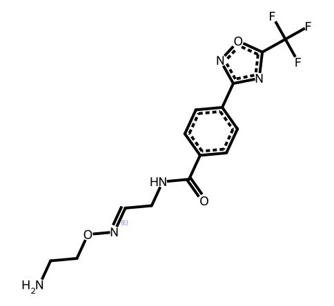 NCCO/N=C/CNC(=O)c1ccc(-c2noc(C(F)(F)F)n2)cc1